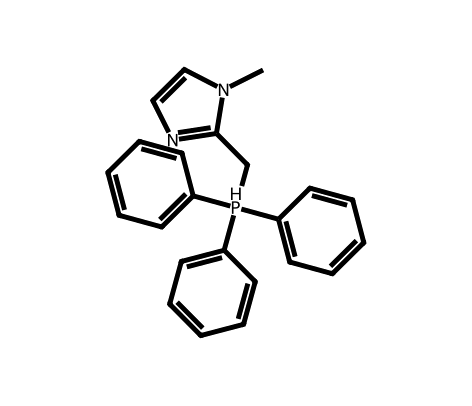 Cn1ccnc1C[PH](c1ccccc1)(c1ccccc1)c1ccccc1